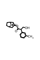 Cc1cccc(C(CO)C(=O)OC2CC3CCC(C2)N3C)c1